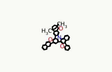 CC12CCC(C)(CC1)c1cc3c4c5oc6cc7ccccc7cc6c5cc5c6c7oc8ccccc8c7c7ccccc7c6n(c3cc1C2=O)c54